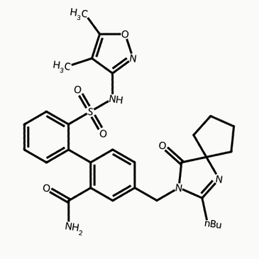 CCCCC1=NC2(CCCC2)C(=O)N1Cc1ccc(-c2ccccc2S(=O)(=O)Nc2noc(C)c2C)c(C(N)=O)c1